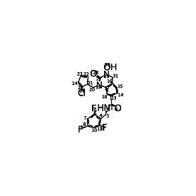 O=C(NCc1c(F)cc(F)cc1F)c1ccc2c(c1)N(CC1C=CC=C1Cl)C(=O)N(O)C2